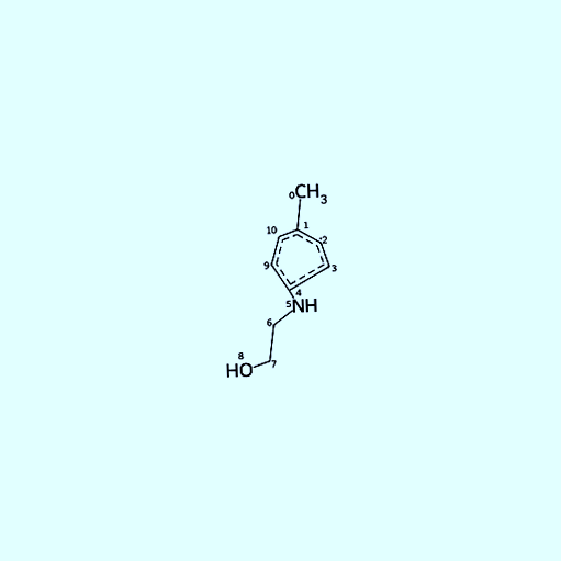 Cc1[c]cc(NCCO)cc1